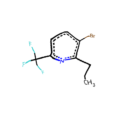 CCc1nc(C(F)(F)F)ccc1Br